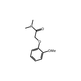 COc1ccccc1OCC(=O)N(C)C